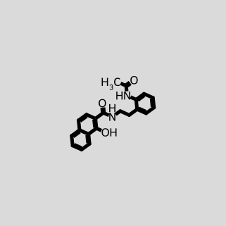 CC(=O)Nc1ccccc1CCNC(=O)c1ccc2ccccc2c1O